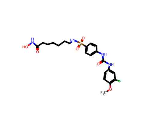 O=C(CCCCCCNS(=O)(=O)c1ccc(NC(=O)Nc2ccc(OC(F)(F)F)c(F)c2)cc1)NO